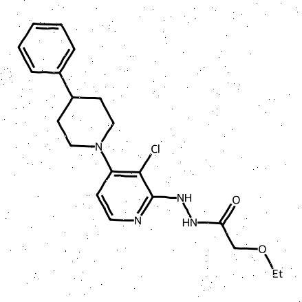 CCOCC(=O)NNc1nccc(N2CCC(c3ccccc3)CC2)c1Cl